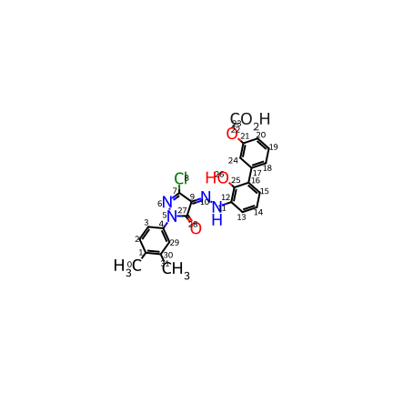 Cc1ccc(N2N=C(Cl)C(=NNc3cccc(-c4cccc(OC(=O)O)c4)c3O)C2=O)cc1C